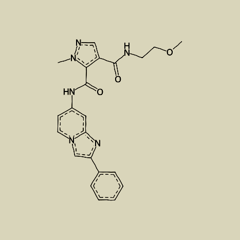 COCCNC(=O)c1cnn(C)c1C(=O)Nc1ccn2cc(-c3ccccc3)nc2c1